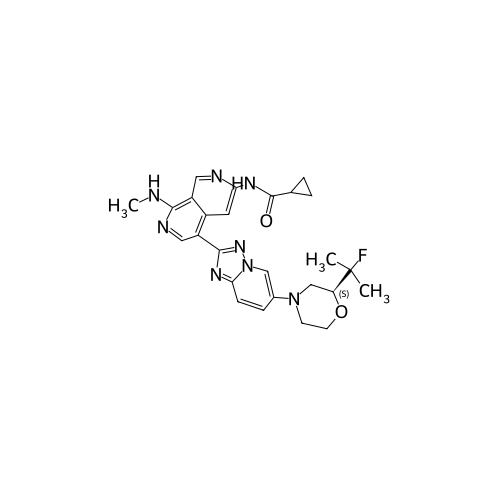 CNc1ncc(-c2nc3ccc(N4CCO[C@H](C(C)(C)F)C4)cn3n2)c2cc(NC(=O)C3CC3)ncc12